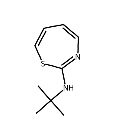 CC(C)(C)NC1=NC=CC=CS1